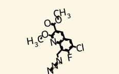 COC(=O)c1cc2cc(Cl)c(F)c(CN=[N+]=[N-])c2nc1OC